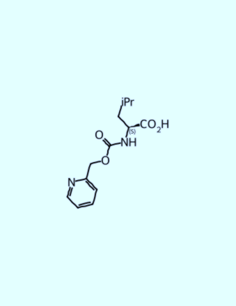 CC(C)C[C@H](NC(=O)OCc1ccccn1)C(=O)O